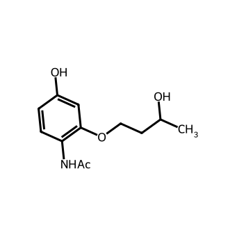 CC(=O)Nc1ccc(O)cc1OCCC(C)O